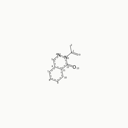 C=C(C)n1ncc2ccccc2c1=O